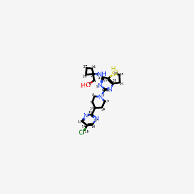 OCC1(Nc2nc(N3CCC(c4ncc(Cl)cn4)CC3)nc3c2[SH2]CC3)CCC1